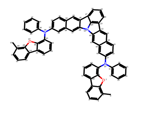 Cc1cccc2c1oc1c(N(c3ccccc3)c3ccc4cc5c6cccc7c8cc9ccc(N(c%10ccccc%10)c%10cccc%11c%10oc%10c(C)cccc%10%11)cc9cc8n(c5cc4c3)c67)cccc12